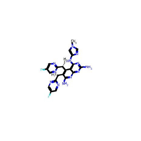 C[C@@H](c1ncc(F)cn1)c1c(N)nc2nc(N)nc(Nc3cn(C)cn3)c2c1[C@@H](C)c1ncc(F)cn1